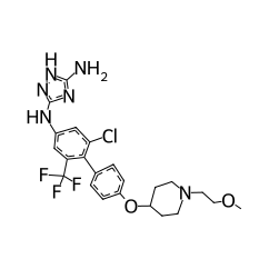 COCCN1CCC(Oc2ccc(-c3c(Cl)cc(Nc4n[nH]c(N)n4)cc3C(F)(F)F)cc2)CC1